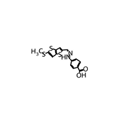 CSc1cc2sc(/C=N\Nc3ccc(C(=O)O)cc3)cc2s1